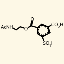 CC(=O)NCCOC(=O)c1cc(C(=O)O)cc(S(=O)(=O)O)c1